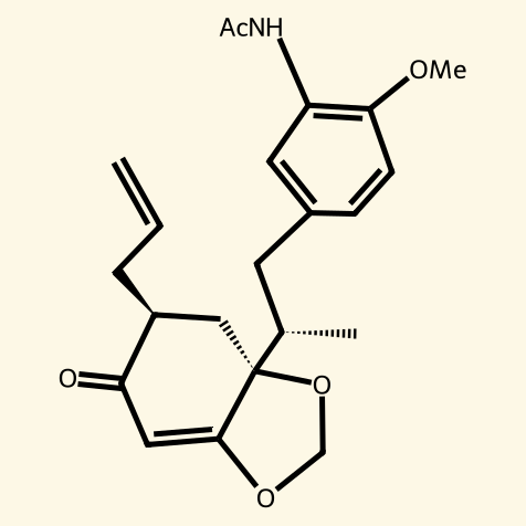 C=CC[C@H]1C[C@]2([C@@H](C)Cc3ccc(OC)c(NC(C)=O)c3)OCOC2=CC1=O